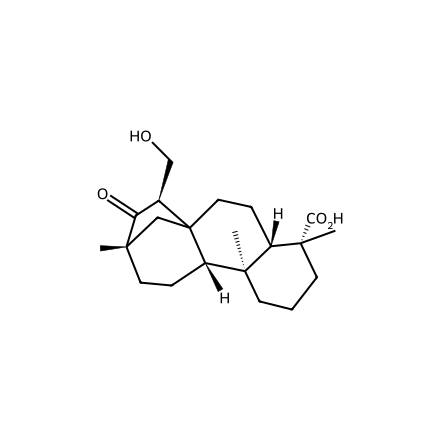 C[C@]12CC[C@@H]3C(CC[C@H]4[C@@]3(C)CCC[C@@]4(C)C(=O)O)(C1)[C@H](CO)C2=O